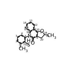 Cc1cccc(-n2c(=O)c3c(c4cccnc42)OC(C)C3)c1S